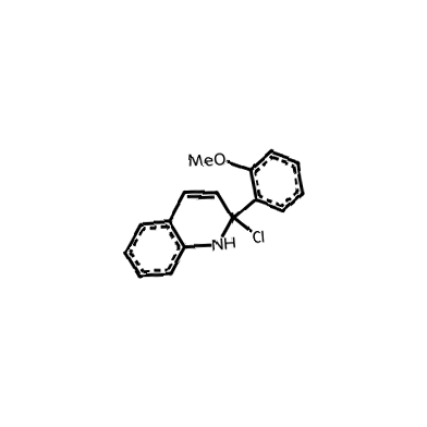 COc1ccccc1C1(Cl)C=Cc2ccccc2N1